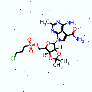 Cc1nc(N)c2c(C(N)=O)cn([C@@H]3O[C@H](COS(=O)(=O)CCCCl)[C@H]4OC(C)(C)O[C@H]43)c2n1